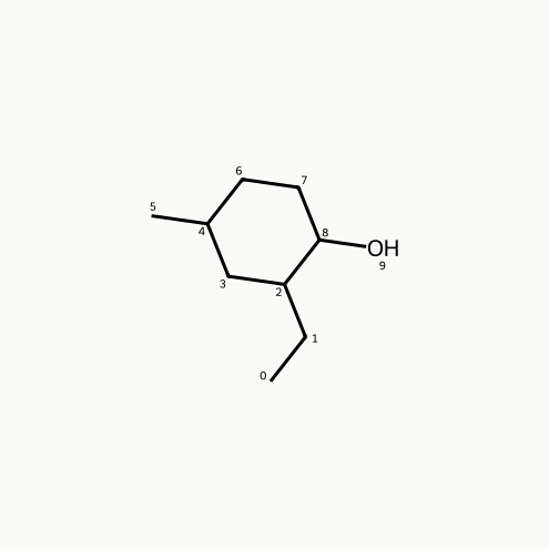 CCC1CC(C)CCC1O